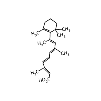 CC(=CC=CC(C)=CC(=O)O)C=C(C)C1=C(C)CCCC1(C)C